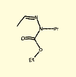 C/C=N\N(C(=O)OCC)C(C)C